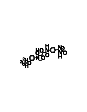 [2H]C([2H])([2H])Oc1cccc(N2CCO[C@H]([C@@H](O)C(=O)Nc3ccc(-c4noc(=O)[nH]4)cc3)C2=O)c1